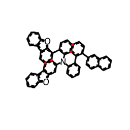 c1ccc(-c2ccccc2N(c2ccc3c(c2)oc2ccccc23)c2ccccc2-c2cccc3c2oc2ccccc23)c(-c2ccc3ccccc3c2)c1